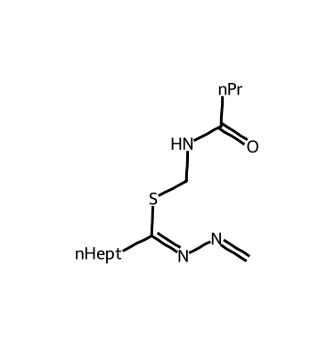 C=N/N=C(/CCCCCCC)SCNC(=O)CCC